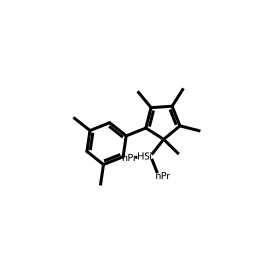 CCC[SiH](CCC)C1(C)C(C)=C(C)C(C)=C1c1cc(C)cc(C)c1